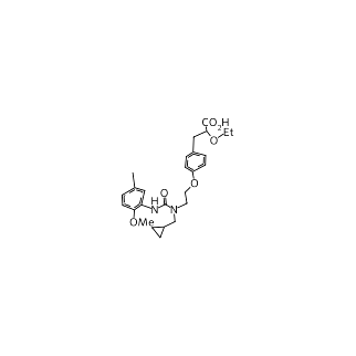 CCOC(Cc1ccc(OCCN(CC2CC2)C(=O)Nc2cc(C)ccc2OC)cc1)C(=O)O